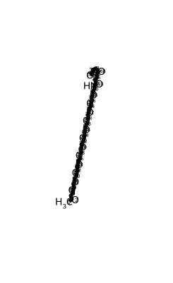 CC(=O)CCOCCOCCOCCOCCOCCOCCOCCOCCOCCOCCOCCOCCNC(=O)CCN1C(=O)C=CC1=O